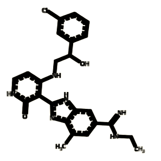 CCNC(=N)c1cc(C)c2nc(-c3c(NCC(O)c4cccc(Cl)c4)cc[nH]c3=O)[nH]c2c1